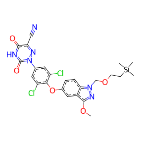 COc1nn(COCC[Si](C)(C)C)c2ccc(Oc3c(Cl)cc(-n4nc(C#N)c(=O)[nH]c4=O)cc3Cl)cc12